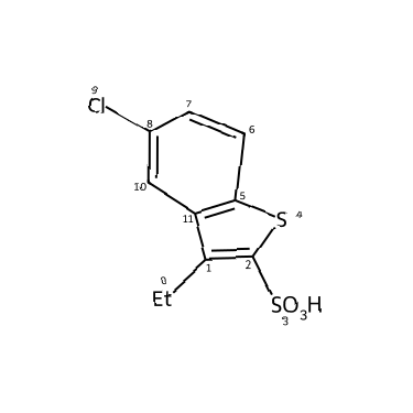 CCc1c(S(=O)(=O)O)sc2ccc(Cl)cc12